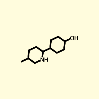 CC1CCC(C2CCC(O)CC2)NC1